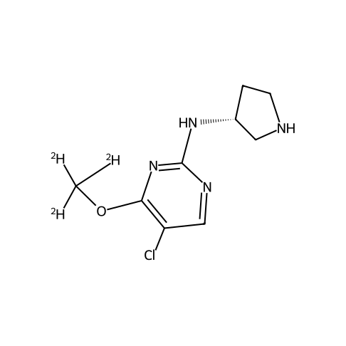 [2H]C([2H])([2H])Oc1nc(N[C@@H]2CCNC2)ncc1Cl